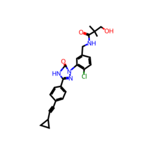 CC(C)(CO)C(=O)NCc1ccc(Cl)c(-n2nc(-c3ccc(C#CC4CC4)cc3)[nH]c2=O)c1